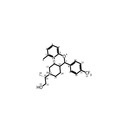 Cc1cccc(OC(c2ccc(C(F)(F)F)cc2)C2CCN([C@@H](C)CO)CC2)n1